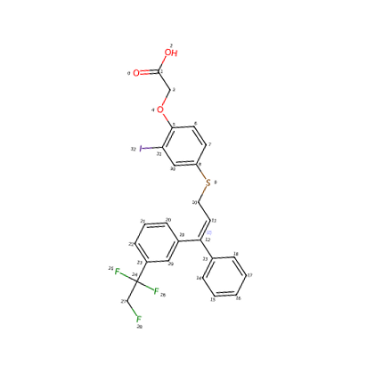 O=C(O)COc1ccc(SC/C=C(/c2ccccc2)c2cccc(C(F)(F)CF)c2)cc1I